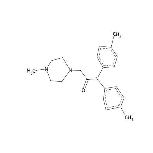 Cc1ccc(N(C(=O)CN2CCN(C)CC2)c2ccc(C)cc2)cc1